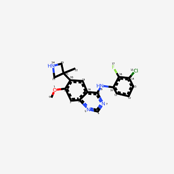 COc1cc2ncnc(Nc3cccc(Cl)c3F)c2cc1C1(C)CNC1